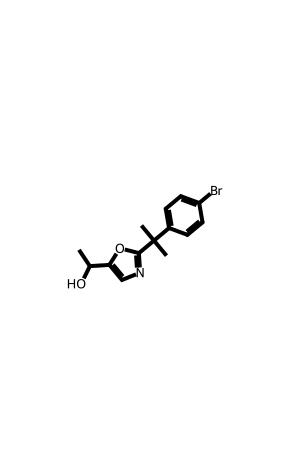 CC(O)c1cnc(C(C)(C)c2ccc(Br)cc2)o1